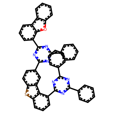 c1ccc(-c2nc(-c3ccc4sc5cccc(-c6nc(-c7ccccc7)nc(-c7ccccc7)n6)c5c4c3)nc(-c3cccc4c3oc3ccccc34)n2)cc1